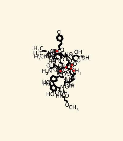 CN[C@H](CC(C)C)C(=O)N[C@H]1C(=O)N[C@@H](CC(N)=O)C(=O)N[C@H]2C(=O)N[C@H]3C(=O)N[C@H](C(=O)N[C@@H](C(=O)NNC(=O)CCOC)c4cc(O)cc(O)c4-c4cc3ccc4O)[C@H](O)c3ccc(c(Cl)c3)Oc3cc2cc(c3O[C@@H]2O[C@H](CO)[C@@H](O)[C@H](O)[C@H]2O[C@H]2C[C@](C)(NCCn3ccc(NC(=O)/C=C/c4ccc(Cl)cc4)nc3=O)[C@H](O)[C@H](C)O2)Oc2ccc(cc2Cl)[C@H]1O